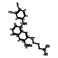 CCN(CC)CCCOc1cc2c(Nc3ccc(F)c(F)c3)ncnc2cc1OC